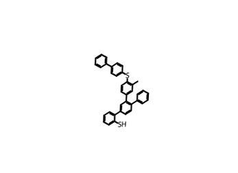 Cc1cc(-c2cc(-c3ccccc3S)ccc2-c2ccccc2)ccc1Sc1ccc(-c2ccccc2)cc1